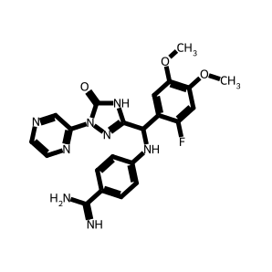 COc1cc(F)c(C(Nc2ccc(C(=N)N)cc2)c2nn(-c3cnccn3)c(=O)[nH]2)cc1OC